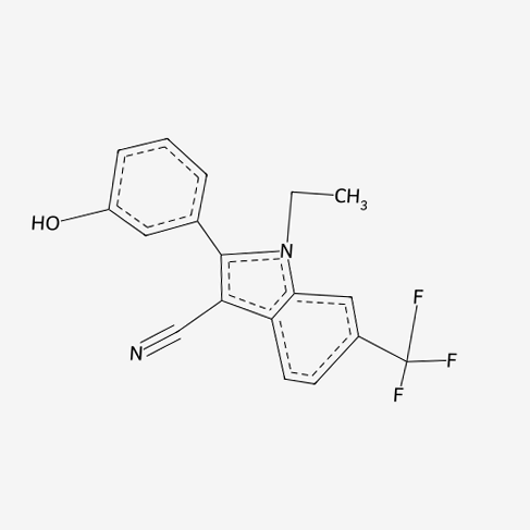 CCn1c(-c2cccc(O)c2)c(C#N)c2ccc(C(F)(F)F)cc21